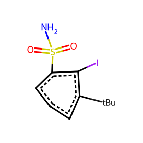 CC(C)(C)c1cccc(S(N)(=O)=O)c1I